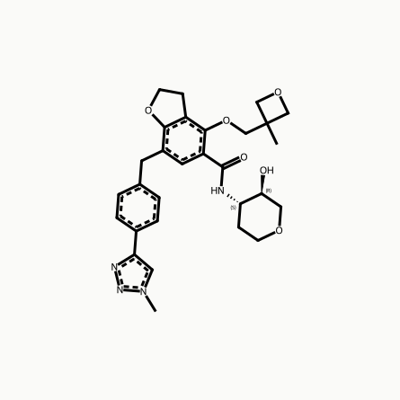 Cn1cc(-c2ccc(Cc3cc(C(=O)N[C@H]4CCOC[C@@H]4O)c(OCC4(C)COC4)c4c3OCC4)cc2)nn1